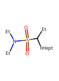 CCCCCCCC(CC)S(=O)(=O)N(CC)CC